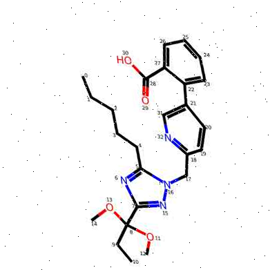 CCCCCc1nc(C(CC)(OC)OC)nn1Cc1ccc(-c2ccccc2C(=O)O)cn1